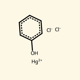 Oc1ccccc1.[Cl-].[Cl-].[Hg+2]